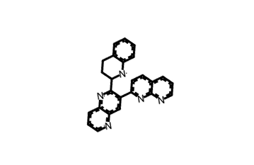 c1ccc2c(c1)CCC(c1nc3cccnc3cc1-c1ccc3cccnc3n1)[N]2